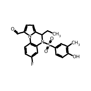 CCC1c2ccc(C=O)n2-c2ccc(F)cc2N1S(=O)(=O)c1ccc(O)c(C)c1